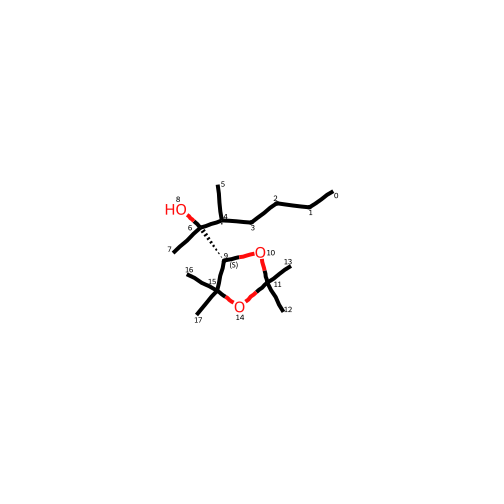 CCCC[C](C)C(C)(O)[C@@H]1OC(C)(C)OC1(C)C